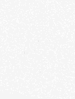 [C]#CC(CC)c1ccc(C)c(C)c1C